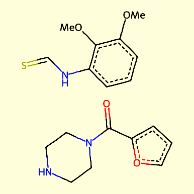 COc1cccc(NC=S)c1OC.O=C(c1ccco1)N1CCNCC1